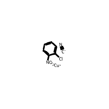 O=[N+]([O-])c1ccccc1Cl.[C-]#N.[Cu+]